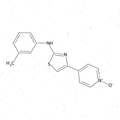 Cc1cccc(Nc2nc(-c3cc[n+]([O-])cc3)cs2)c1